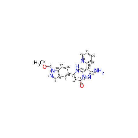 COCn1ncc2cc(-c3cc(=O)n4nc(N)c(-c5ccccn5)c4[nH]3)ccc21